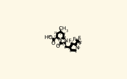 C[C@H]1Cc2nn(Cc3ccnc(C(F)(F)F)c3F)c(=O)n2[C@@H](C(=O)O)C1